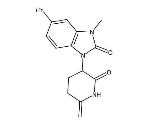 C=C1CCC(n2c(=O)n(C)c3cc(C(C)C)ccc32)C(=O)N1